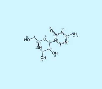 Nc1ncn(C(O[C@@H](S)CO)C(O)CO)c(=O)n1